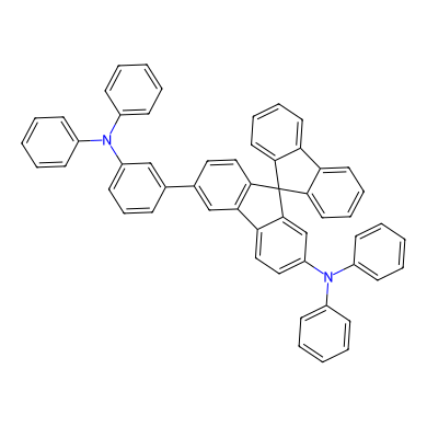 c1ccc(N(c2ccccc2)c2cccc(-c3ccc4c(c3)-c3ccc(N(c5ccccc5)c5ccccc5)cc3C43c4ccccc4-c4ccccc43)c2)cc1